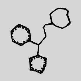 [CH](CC(c1ccccc1)c1ccccc1)C1CCCCC1